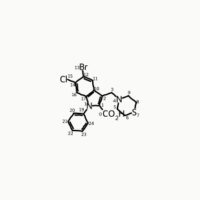 O=C(O)c1c(CN2CCSCC2)c2cc(Br)c(Cl)cc2n1-c1ccccc1